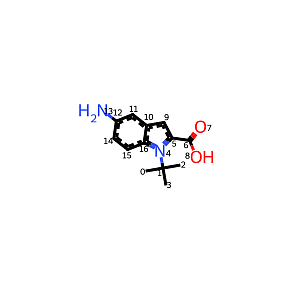 CC(C)(C)n1c(C(=O)O)cc2cc(N)ccc21